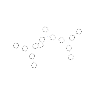 c1ccc(-c2ccc(N(c3ccc(-c4ccccc4)cc3)c3ccc(-c4ccc(N(c5ccccc5)c5ccc6c(ccc7cc(N(c8ccc(-c9ccccc9)cc8)c8ccc(-c9ccccc9)cc8)ccc76)c5)cc4)cc3)cc2)cc1